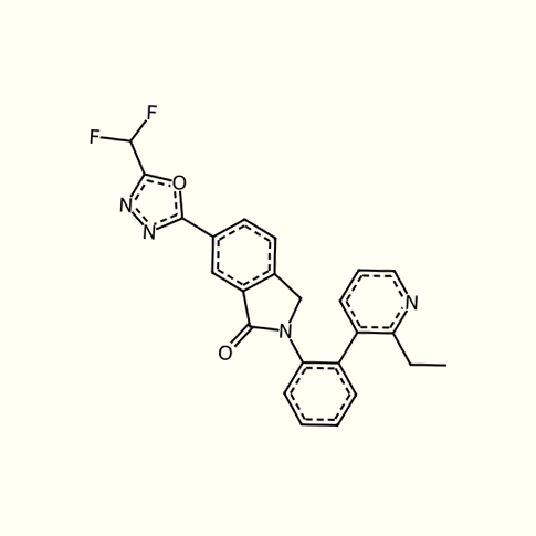 CCc1ncccc1-c1ccccc1N1Cc2ccc(-c3nnc(C(F)F)o3)cc2C1=O